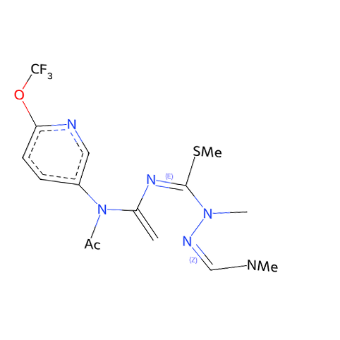 C=C(/N=C(/SC)N(C)/N=C\NC)N(C(C)=O)c1ccc(OC(F)(F)F)nc1